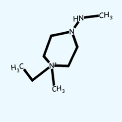 CC[N+]1(C)CCN(NC)CC1